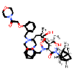 CC(C)C[C@@H](CN1CCCC1)N(Cc1cccc(CN2O[C@@H](CO)[C@@H]([C@H](C)O)[C@H]2C(=O)N[C@H]2C[C@H]3C[C@@H]([C@@H]2C)C3(C)C)c1)Cc1ccccc1OCC(=O)N1CCOCC1